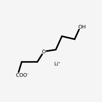 O=C([O-])CCOCCCO.[Li+]